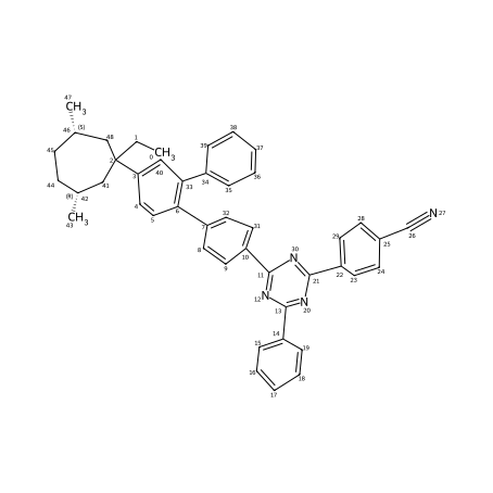 CCC1(c2ccc(-c3ccc(-c4nc(-c5ccccc5)nc(-c5ccc(C#N)cc5)n4)cc3)c(-c3ccccc3)c2)C[C@H](C)CC[C@H](C)C1